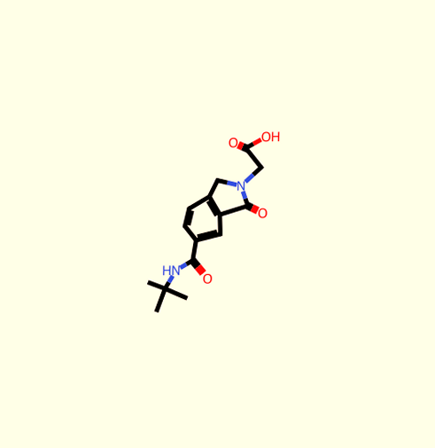 CC(C)(C)NC(=O)c1ccc2c(c1)C(=O)N(CC(=O)O)C2